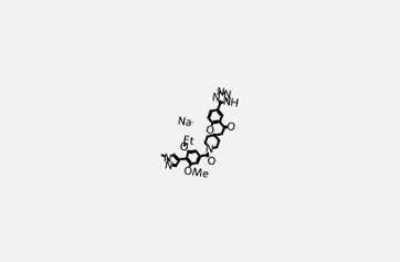 CCOc1cc(C(=O)N2CCC3(CC2)CC(=O)c2cc(-c4nnn[nH]4)ccc2O3)cc(OC)c1-c1cnn(C)c1.[Na]